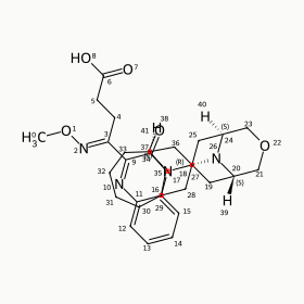 CON=C(CCC(=O)O)c1nc2ccccc2n(C2C[C@H]3COC[C@H](C2)N3[C@@H]2CC3CCCC[C@H](C3)C2)c1=O